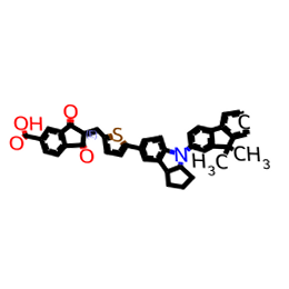 CC1(C)c2ccccc2-c2ccc(N3c4ccc(-c5ccc(/C=C6\C(=O)c7ccc(C(=O)O)cc7C6=O)s5)cc4C4CCCC43)cc21